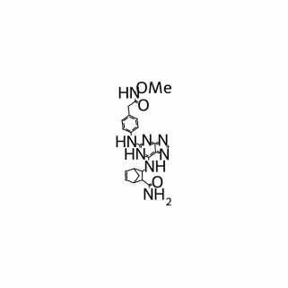 CONC(=O)Cc1ccc(Nc2nc3ncnc-3c(NC3C4C=CC(C4)C3C(N)=O)[nH]2)cc1